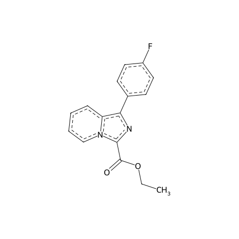 CCOC(=O)c1nc(-c2ccc(F)cc2)c2ccccn12